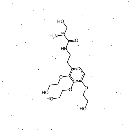 N[C@@H](CO)C(=O)NCCc1ccc(OCCO)c(OCCO)c1OCCO